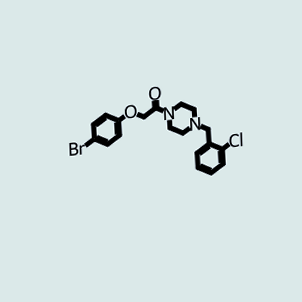 O=C(COc1ccc(Br)cc1)N1CCN(Cc2ccccc2Cl)CC1